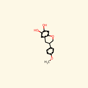 COc1ccc(C2COc3cc(O)c(O)cc3C2)cc1